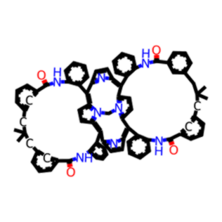 CC1(C)Cc2cccc(c2)C(=O)Nc2ccccc2/C2=C3\C=CC(=N3)/C3=c4/cc/c5n4Cn4c2ccc4/C(=C2/C=CC(=N2)/C=5c2ccccc2NC(=O)c2cccc(c2)CC(C)(C)Cc2cccc(c2)C(=O)Nc2ccccc23)c2ccccc2NC(=O)c2cccc(c2)C1